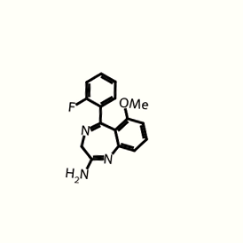 COc1cccc2c1C(c1ccccc1F)=NCC(N)=N2